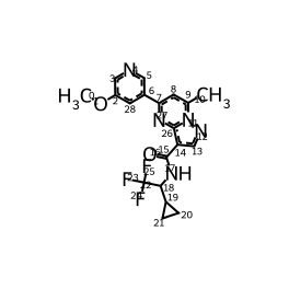 COc1cncc(-c2cc(C)n3ncc(C(=O)NC(C4CC4)C(F)(F)F)c3n2)c1